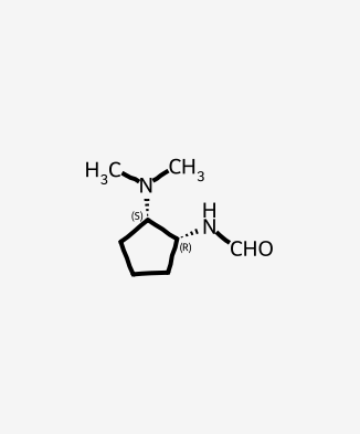 CN(C)[C@H]1CCC[C@H]1NC=O